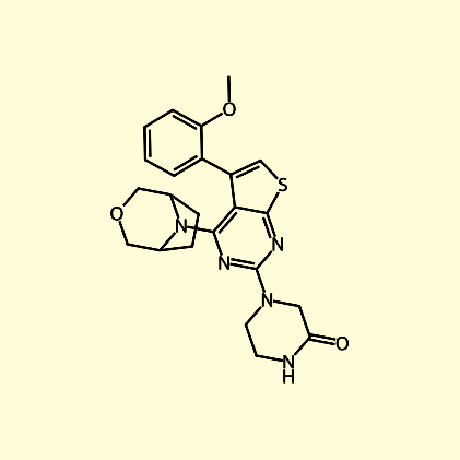 COc1ccccc1-c1csc2nc(N3CCNC(=O)C3)nc(N3C4CCC3COC4)c12